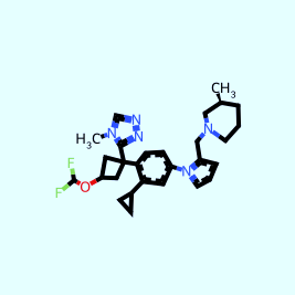 C[C@H]1CCCN(Cc2cccn2-c2ccc(C3(c4nncn4C)CC(OC(F)F)C3)c(C3CC3)c2)C1